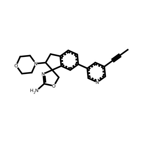 CC#Cc1cncc(-c2ccc3c(c2)C2(COC(N)=N2)C(N2CCOCC2)C3)c1